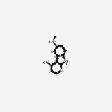 CNc1ccc2[nH]c3nccc(Cl)c3c2c1